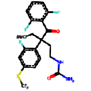 COCC(CCNC(N)=O)(C(=O)c1c(F)cccc1F)c1ccc(SC(F)(F)F)cc1F